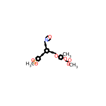 COC(=O)COc1ccc(OCC#Cc2cc(C#CCN3CCOCC3)cc(C#Cc3ccc(S(C)(=O)=O)cc3)c2)cc1C